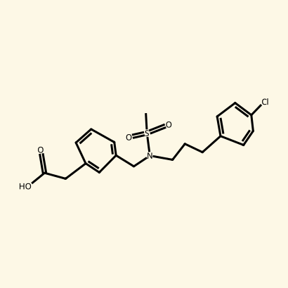 CS(=O)(=O)N(CCCc1ccc(Cl)cc1)Cc1cccc(CC(=O)O)c1